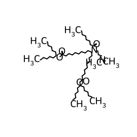 CCCCCCCC(=O)N(CCCN(C)C)C(CCCCCCCCC(=O)OC(CCCCCC)CCCCCC)CCCCCCCCC(=O)OC(CCCCCC)CCCCCC